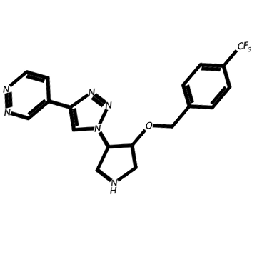 FC(F)(F)c1ccc(COC2CNCC2n2cc(-c3ccnnc3)nn2)cc1